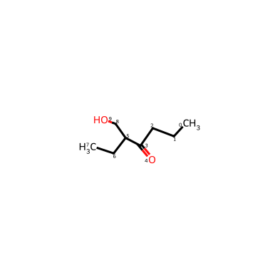 CCCC(=O)C(CC)CO